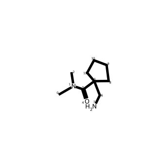 CN(C)C(=O)C1(CN)CCCC1